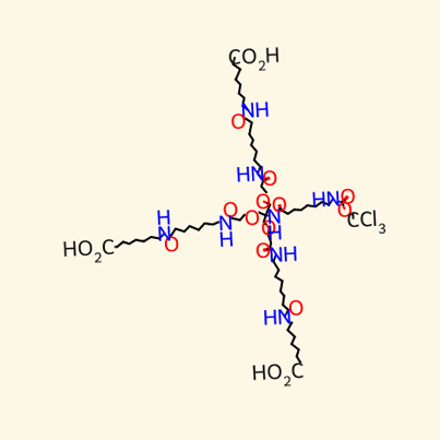 O=C(O)CCCCCCCNC(=O)CCCCCCCNC(=O)CCOCC(COCCC(=O)NCCCCCCCC(=O)NCCCCCCCC(=O)O)(COCCC(=O)NCCCCCCCC(=O)NCCCCCCCC(=O)O)NC(=O)CCCCCCCNC(=O)OCC(Cl)(Cl)Cl